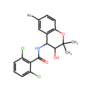 CC(=O)c1ccc2c(c1)C(NC(=O)c1c(Cl)cccc1Cl)C(O)C(C)(C)O2